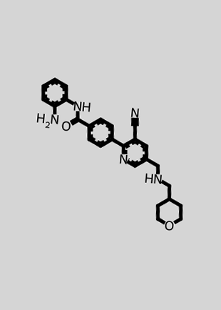 N#Cc1cc(CNCC2CCOCC2)cnc1-c1ccc(C(=O)Nc2ccccc2N)cc1